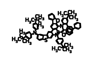 CC(C)(C)c1ccc(N2B3c4oc5ccc(-c6ccccc6)cc5c4N(c4ccc(C(C)(C)C)cc4-c4ccccc4)c4c3c(cc3c4oc4ccccc43)-c3cc4c(cc32)sc2ccc(N(c3ccc(C(C)(C)C)cc3)c3ccc(C(C)(C)C)cc3)cc24)cc1